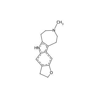 CN1CCc2[nH]c3cc4c(cc3c2CC1)OCC4